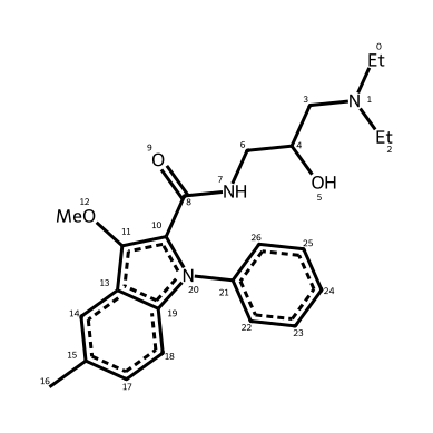 CCN(CC)CC(O)CNC(=O)c1c(OC)c2cc(C)ccc2n1-c1ccccc1